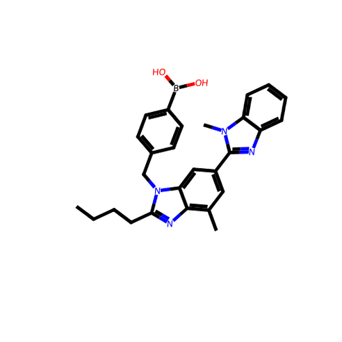 CCCCc1nc2c(C)cc(-c3nc4ccccc4n3C)cc2n1Cc1ccc(B(O)O)cc1